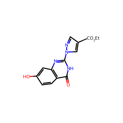 CCOC(=O)c1cnn(-c2nc3cc(O)ccc3c(=O)[nH]2)c1